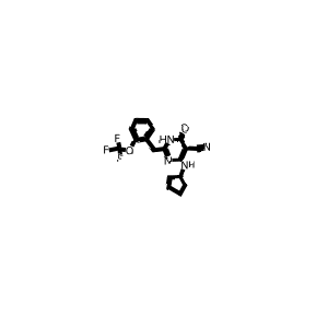 N#Cc1c(NC2CCCC2)nc(Cc2ccccc2OC(F)(F)F)[nH]c1=O